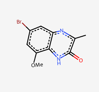 COc1cc(Br)cc2nc(C)c(=O)[nH]c12